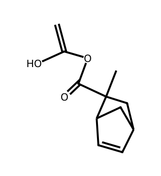 C=C(O)OC(=O)C1(C)CC2C=CC1C2